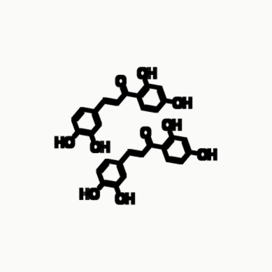 O=C(C=Cc1ccc(O)c(O)c1)c1ccc(O)cc1O.O=C(C=Cc1ccc(O)c(O)c1)c1ccc(O)cc1O